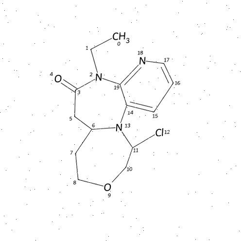 CCN1C(=O)CC2CCOCC(Cl)N2c2cccnc21